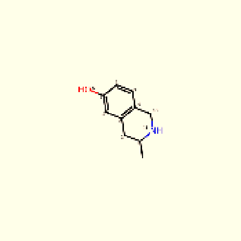 CC1Cc2cc(O)ccc2CN1